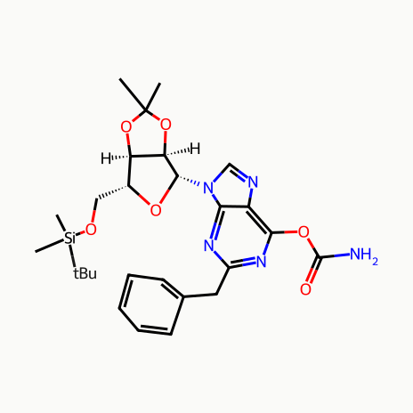 CC1(C)O[C@@H]2[C@H](O1)[C@@H](CO[Si](C)(C)C(C)(C)C)O[C@H]2n1cnc2c(OC(N)=O)nc(Cc3ccccc3)nc21